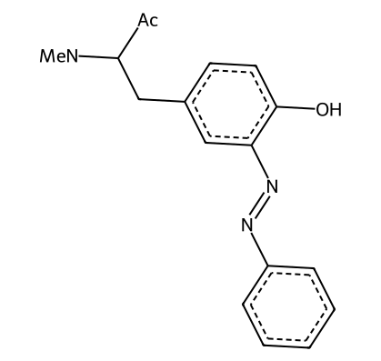 CNC(Cc1ccc(O)c(/N=N/c2ccccc2)c1)C(C)=O